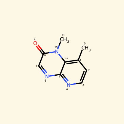 Cc1ccnc2ncc(=O)n(C)c12